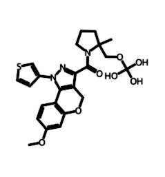 COc1ccc2c(c1)OCc1c(C(=O)N3CCCC3(C)COC(O)(O)O)nn(-c3ccsc3)c1-2